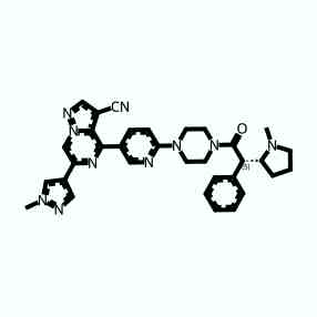 CN1CCCC1[C@@H](C(=O)N1CCN(c2ccc(-c3nc(-c4cnn(C)c4)cn4ncc(C#N)c34)cn2)CC1)c1ccccc1